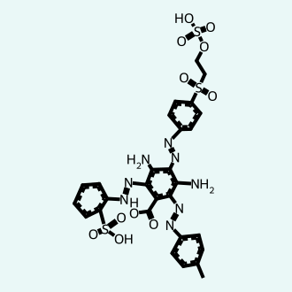 Cc1ccc(N=Nc2c(N)c(N=Nc3ccc(S(=O)(=O)CCOS(=O)(=O)O)cc3)c(N)c(N=Nc3ccccc3S(=O)(=O)O)c2C(=O)O)cc1